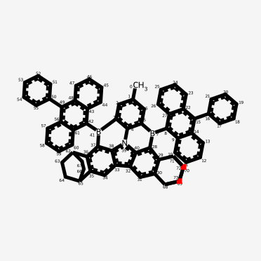 Cc1cc2c3c(c1)B(c1c4ccccc4c(-c4ccccc4)c4ccccc14)c1c4c(cc5c6cc7c(c(c6n-3c15)B2c1c2ccccc2c(-c2ccccc2)c2ccccc12)C1CCC7CC1)C1CCC4CC1